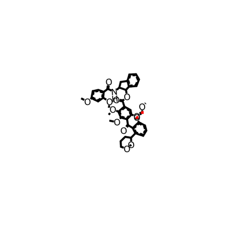 COCOc1cccc(C2CCCOO2)c1C(=O)c1c(OC)cc(C(=O)OC2c3ccccc3CC2NC(=O)c2ccc(OC)cc2OC)c(OC)c1OC